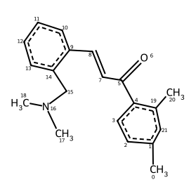 Cc1ccc(C(=O)C=Cc2ccccc2CN(C)C)c(C)c1